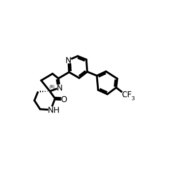 O=C1NCCC[C@@]12CCC(c1cc(-c3ccc(C(F)(F)F)cc3)ccn1)=N2